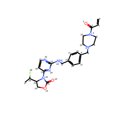 C=CC(=O)N1CCN(Cc2ccc(CNc3nccc(N4C(=O)OCC4C(C)F)n3)cc2)CC1